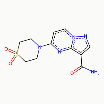 NC(=O)c1cnn2ccc(N3CCS(=O)(=O)CC3)nc12